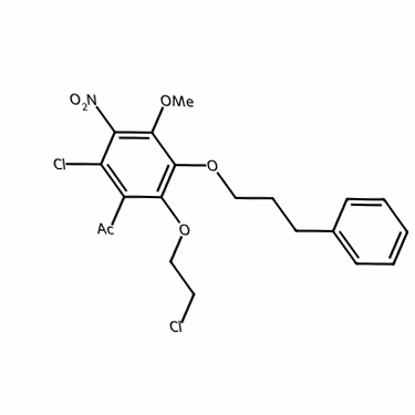 COc1c(OCCCc2ccccc2)c(OCCCl)c(C(C)=O)c(Cl)c1[N+](=O)[O-]